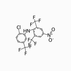 O=[N+]([O-])c1cc(C(F)(F)F)c(Nc2cc(C(F)(F)F)ccc2Cl)c(C(F)(F)F)c1